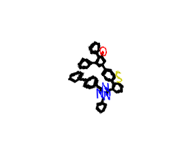 c1ccc(-c2ccc(-c3nc(-c4ccccc4)nc(-c4cccc5sc6cc(-c7cc(-c8ccccc8)c8c(c7)oc7ccccc78)ccc6c45)n3)cc2)cc1